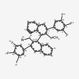 CCc1c(-c2cc(F)c(F)c(F)c2)cc2ccc#cc2c1-c1c(CBr)c(-c2cc(F)c(F)c(F)c2)cc2ccccc12